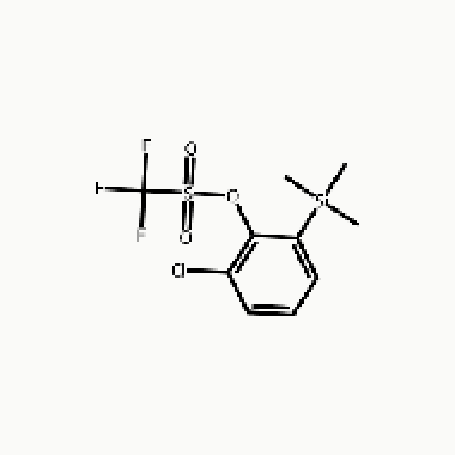 C[Si](C)(C)c1cccc(Cl)c1OS(=O)(=O)C(F)(F)F